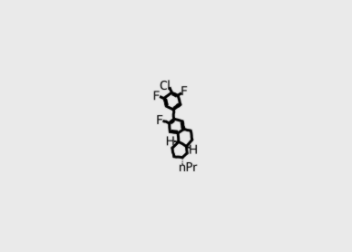 CCC[C@@H]1CC[C@@H]2c3cc(F)c(-c4cc(F)c(Cl)c(F)c4)cc3CC[C@@H]2C1